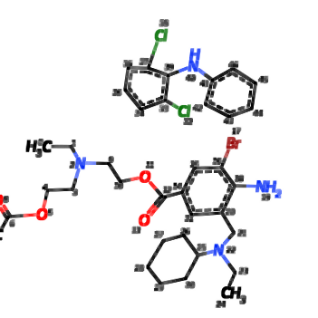 CCN(CCOC(C)=O)CCOC(=O)c1cc(Br)c(N)c(CN(CC)C2CCCCC2)c1.Clc1cccc(Cl)c1Nc1ccccc1